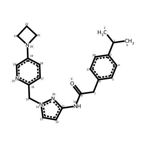 CC(C)c1ccc(CC(=O)Nc2ccn(Cc3ccc(N4CCC4)cn3)n2)cc1